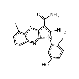 Cc1ccc(O)cc1-n1c(N)c(C(N)=O)c2nc3c(C)cccc3nc21